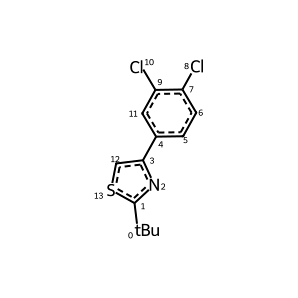 CC(C)(C)c1nc(-c2ccc(Cl)c(Cl)c2)cs1